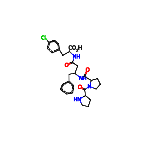 O=C(CC(Cc1ccccc1)NC(=O)C1CCCN1C(=O)C1CCCN1)NC(Cc1ccc(Cl)cc1)C(=O)O